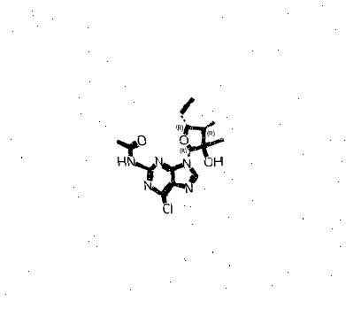 CC[C@H]1O[C@@H](n2cnc3c(Cl)nc(NC(C)=O)nc32)C(C)(O)[C@@H]1C